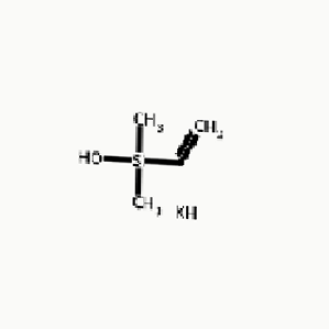 C=C[Si](C)(C)O.[KH]